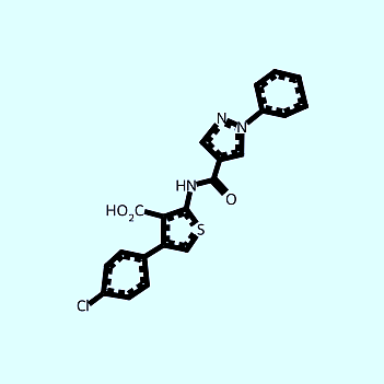 O=C(Nc1scc(-c2ccc(Cl)cc2)c1C(=O)O)c1cnn(-c2ccccc2)c1